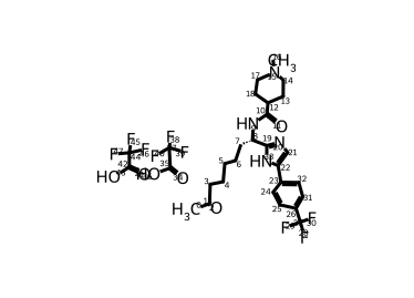 CC(=O)CCCCC[C@H](NC(=O)C1CCN(C)CC1)c1ncc(-c2ccc(C(F)(F)F)cc2)[nH]1.O=C(O)C(F)(F)F.O=C(O)C(F)(F)F